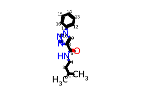 CC(C)CCNC(=O)c1cn(-c2ccccc2)nn1